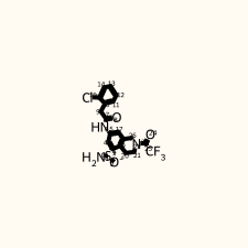 N[S+]([O-])c1cc(NC(=O)Cc2ccccc2Cl)cc2c1CCN(C(=O)C(F)(F)F)C2